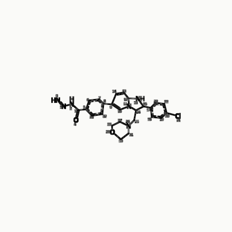 N=NNC(=O)c1ccc(C2=CN3C(C=C2)NC(c2ccc(Cl)cc2)C3CN2CCOCC2)cc1